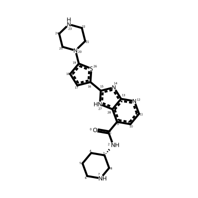 O=C(N[C@H]1CCCNC1)c1ccnc2nc(-c3ccc(N4CCNCC4)s3)[nH]c12